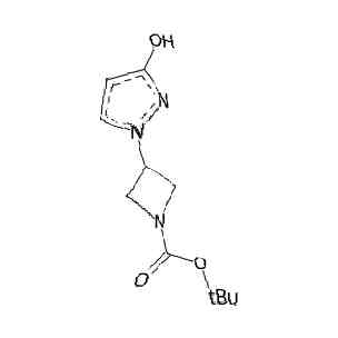 CC(C)(C)OC(=O)N1CC(n2ccc(O)n2)C1